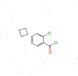 C1CCC1.O=C(Cl)c1ccccc1Cl